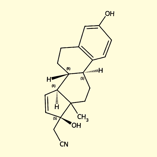 CC12CC[C@@H]3c4ccc(O)cc4CC[C@H]3[C@@H]1C=C[C@@]2(O)CC#N